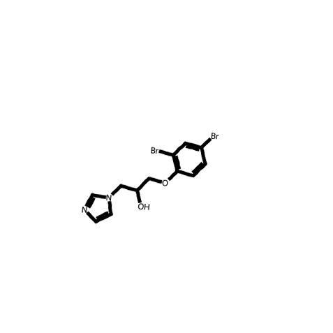 OC(COc1ccc(Br)cc1Br)Cn1ccnc1